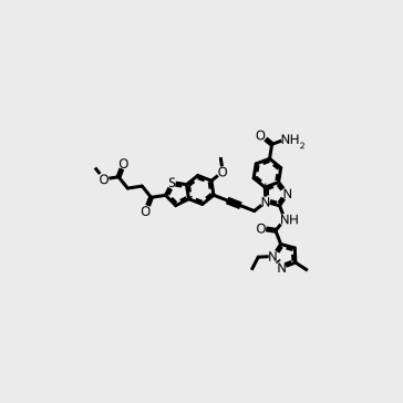 CCn1nc(C)cc1C(=O)Nc1nc2cc(C(N)=O)ccc2n1CC#Cc1cc2cc(C(=O)CCC(=O)OC)sc2cc1OC